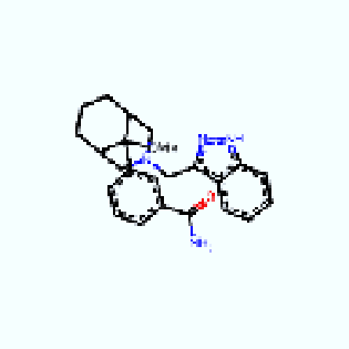 COC1(c2cccc(C(N)=O)c2)C2CCCC1CN(Cc1n[nH]c3ccccc13)C2